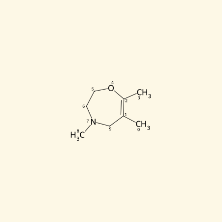 CC1=C(C)OCCN(C)C1